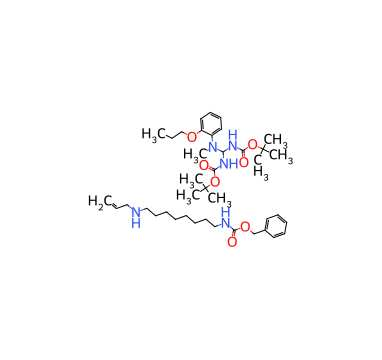 C=CCNCCCCCCCCNC(=O)OCc1ccccc1.CCCOc1ccccc1N(C)C(NC(=O)OC(C)(C)C)NC(=O)OC(C)(C)C